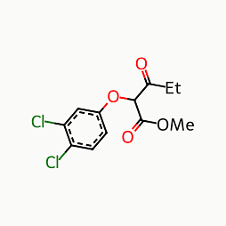 CCC(=O)C(Oc1ccc(Cl)c(Cl)c1)C(=O)OC